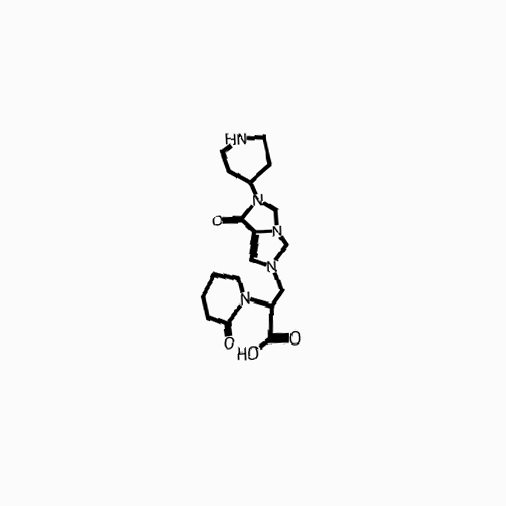 O=C(O)C(CN1C=C2C(=O)N(C3CCNCC3)CN2C1)N1CCCCC1=O